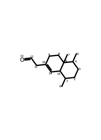 CC1CCC(C)C2(C)CCC(CC=O)=CC12